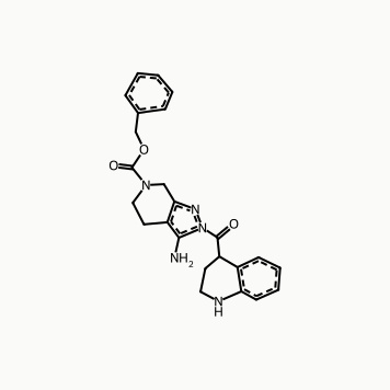 Nc1c2c(nn1C(=O)C1CCNc3ccccc31)CN(C(=O)OCc1ccccc1)CC2